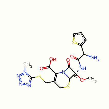 CO[C@]1(NC(=O)C(N)c2cccs2)C(=O)N2C(C(=O)O)=C(CSc3nnnn3C)CSC21